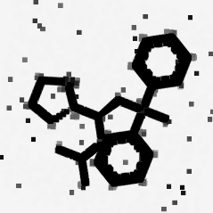 CC(C)O[C@H](CS(C)(c1ccccc1)c1ccccc1)[C@@H]1CCCN1